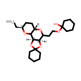 CCOC(=O)C[C@H]1CC[C@@H]2OC(CCOC3(O)CCCCC3)[C@H]3OC4(CCCCC4)O[C@H]3C2O1